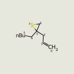 C=CCC1(CCCCC)CS1